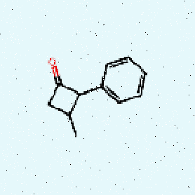 CC1CC(=O)C1c1ccccc1